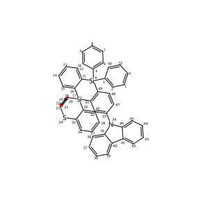 c1ccc([Si]2(c3ccccc3)c3ccccc3[Si]3(c4ccccc4Sc4ccccc43)c3cc(-n4c5ccccc5c5ccccc54)ccc32)cc1